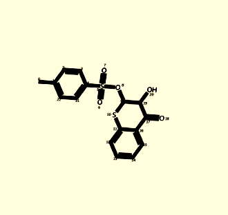 Cc1ccc(S(=O)(=O)OC2Sc3ccccc3C(=O)C2O)cc1